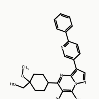 COC1(CO)CCC(c2nc3c(-c4ccc(-c5ccccc5)nc4)cnn3c(N)c2Br)CC1